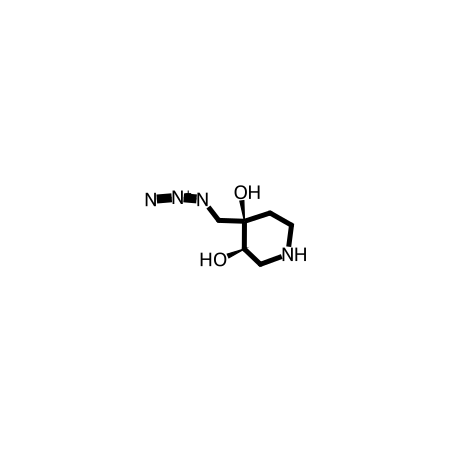 [N-]=[N+]=NC[C@]1(O)CCNC[C@H]1O